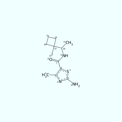 Cc1nc(N)sc1C(=O)NC(C)C1(I)CCC1